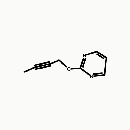 CC#CCOc1ncccn1